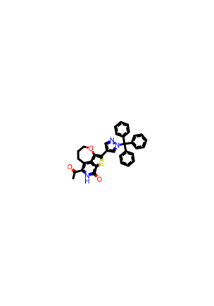 CC(=O)c1[nH]c(=O)c2sc(-c3cnn(C(c4ccccc4)(c4ccccc4)c4ccccc4)c3)c3c2c1CCCO3